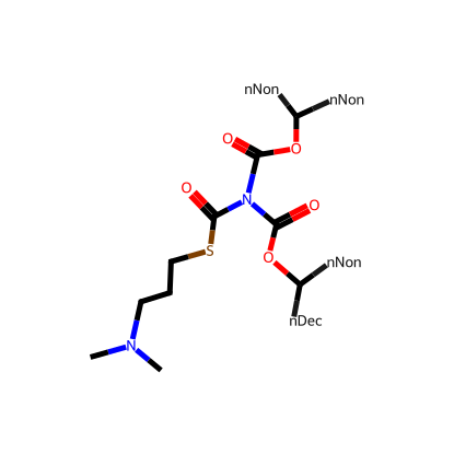 CCCCCCCCCCC(CCCCCCCCC)OC(=O)N(C(=O)OC(CCCCCCCCC)CCCCCCCCC)C(=O)SCCCN(C)C